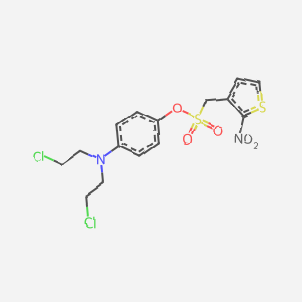 O=[N+]([O-])c1sccc1CS(=O)(=O)Oc1ccc(N(CCCl)CCCl)cc1